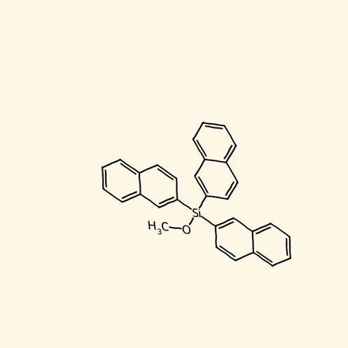 CO[Si](c1ccc2ccccc2c1)(c1ccc2ccccc2c1)c1ccc2ccccc2c1